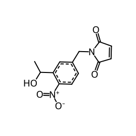 CC(O)c1cc(CN2C(=O)C=CC2=O)ccc1[N+](=O)[O-]